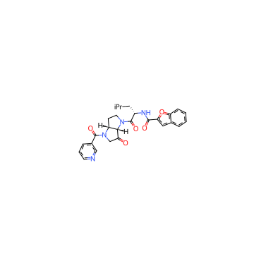 CC(C)C[C@H](NC(=O)c1cc2ccccc2o1)C(=O)N1CC[C@@H]2[C@H]1C(=O)CN2C(=O)c1cccnc1